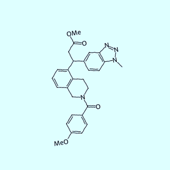 COC(=O)CC(c1ccc2c(c1)nnn2C)c1cccc2c1CCN(C(=O)c1ccc(OC)cc1)C2